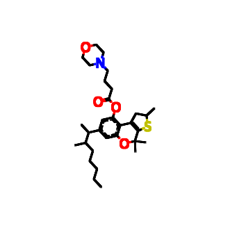 CCCCCC(C)C(C)c1cc(OC(=O)CCCN2CCOCC2)c2c(c1)OC(C)(C)C1=C2CC(C)S1